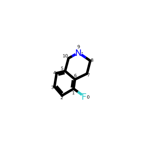 Fc1cccc2c1CC[N]C2